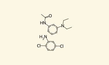 CCN(CC)c1cccc(NC(C)=O)c1.Nc1cc(Cl)ccc1Cl